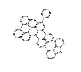 c1ccc(-c2ccc(N(c3ccc(-c4cccc5sc6ccccc6c45)cc3)c3ccccc3-c3cccc4cccc(-c5ccccc5)c34)c(-c3ccccc3)c2)cc1